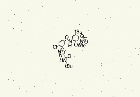 COc1c(NC(=O)c2ccc(Cl)c(-n3cc(C(=O)NCC(C)(C)C)nn3)c2)cc(C(C)(C)C)cc1NS(C)(=O)=O